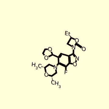 CC[C@H]1CN(c2noc3c(F)c(N4C[C@@H](C)O[C@@H](C)C4)c(C4OCCO4)cc23)C(=O)O1